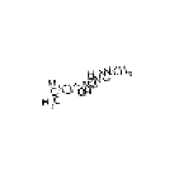 Cc1ccc(N2C[C@@H]3C[C@H]2CN3C(=O)Cc2ccc(C(C)C)cc2)nn1